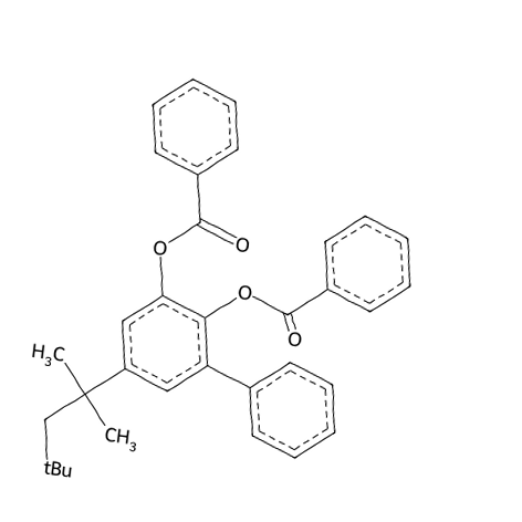 CC(C)(C)CC(C)(C)c1cc(OC(=O)c2ccccc2)c(OC(=O)c2ccccc2)c(-c2ccccc2)c1